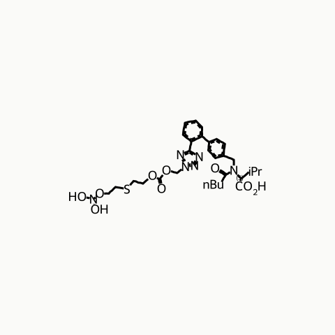 CCCCC(=O)N(Cc1ccc(-c2ccccc2-c2nnn(COC(=O)OCCSCCON(O)O)n2)cc1)[C@H](C(=O)O)C(C)C